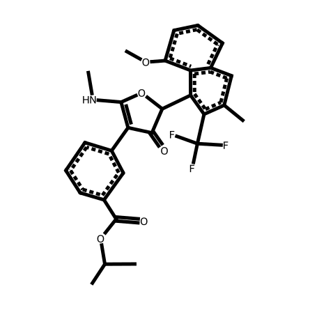 CNC1=C(c2cccc(C(=O)OC(C)C)c2)C(=O)C(c2c(C(F)(F)F)c(C)cc3cccc(OC)c23)O1